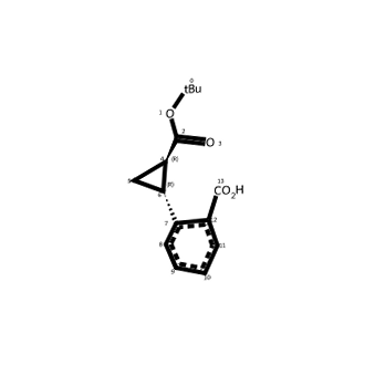 CC(C)(C)OC(=O)[C@@H]1C[C@H]1c1ccccc1C(=O)O